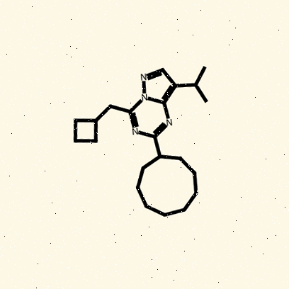 CC(C)c1cnn2c(CC3CCC3)nc(C3CCCCCCCC3)nc12